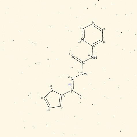 C/C(=N\NC(=S)Nc1ccccn1)c1cccs1